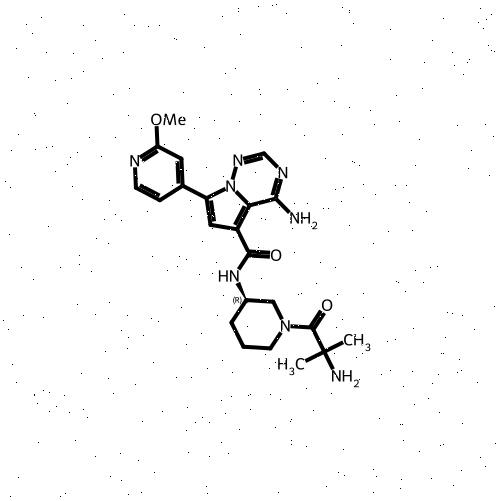 COc1cc(-c2cc(C(=O)N[C@@H]3CCCN(C(=O)C(C)(C)N)C3)c3c(N)ncnn23)ccn1